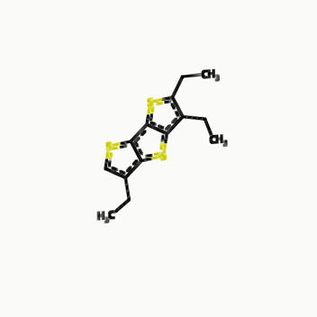 CCc1sc2c(sc3c(CC)csc32)c1CC